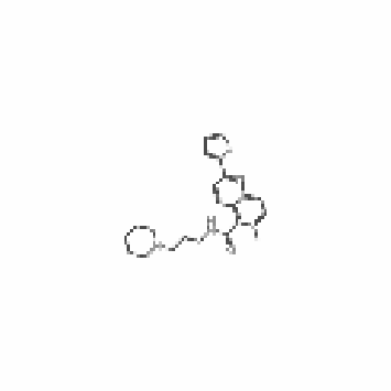 Cc1ccc2nc(-c3cccs3)ccc2c1C(=O)NCCCN1CCCCC1